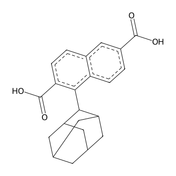 O=C(O)c1ccc2c(C3C4CC5CC(C4)CC3C5)c(C(=O)O)ccc2c1